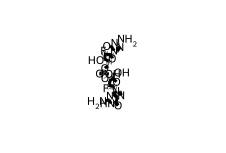 Nc1ncn([C@@H]2O[C@H](COP(=O)(O)OC3[C@@H](CO)O[C@@H](n4cnc5c(=O)[nH]c(N)nc54)[C@H]3F)C(O)[C@@H]2F)c(=O)n1